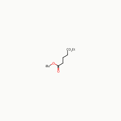 CCOC(=O)CCCC(=O)OC(C)CC